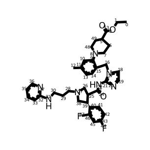 CCOC(=O)C1CCN(c2cc(C)ccc2Cn2ccnc2NC(=O)C2CN(CCCNc3ccccn3)C[C@H]2c2ccc(F)cc2F)CC1